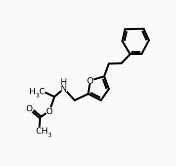 CC(=O)OC(C)NCc1ccc(CCc2ccccc2)o1